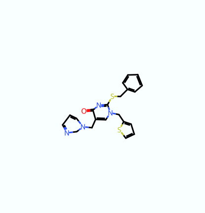 O=c1nc(SCc2ccccc2)n(Cc2cccs2)cc1CN1C=CC=NC1